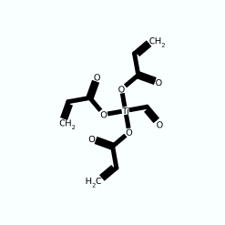 C=CC(=O)[O][Ti]([CH]=O)([O]C(=O)C=C)[O]C(=O)C=C